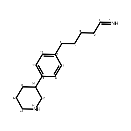 N=CCCCCc1ccc(C2CCCNC2)cc1